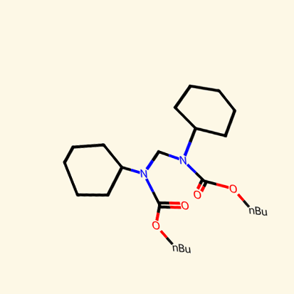 CCCCOC(=O)N(CN(C(=O)OCCCC)C1CCCCC1)C1CCCCC1